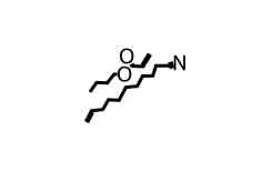 C=CC(=O)OCCCC.C=CCCCCCCCCC#N